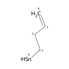 C=CC[CH][SnH]